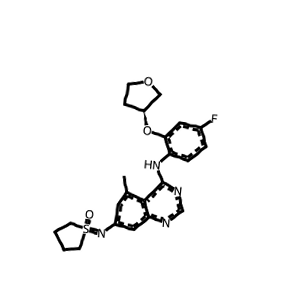 Cc1cc(N=S2(=O)CCCC2)cc2ncnc(Nc3ccc(F)cc3O[C@H]3CCOC3)c12